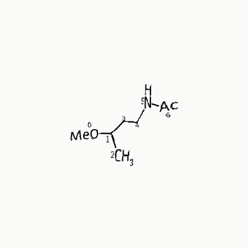 COC(C)CCNC(C)=O